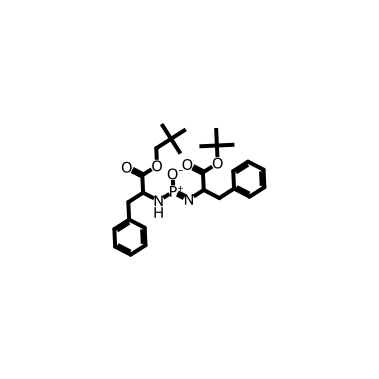 CC(C)(C)COC(=O)C(Cc1ccccc1)N/[P+]([O-])=N/C(Cc1ccccc1)C(=O)OC(C)(C)C